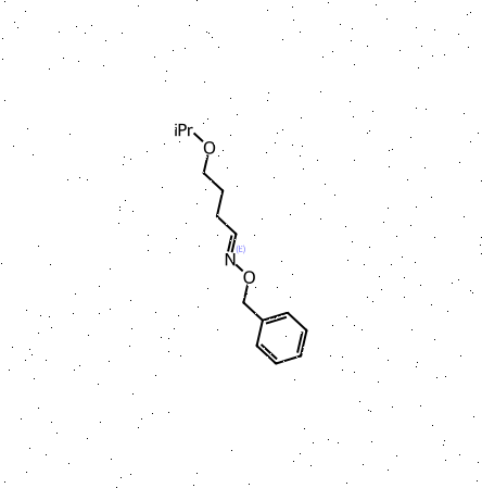 CC(C)OCCC/C=N/OCc1ccccc1